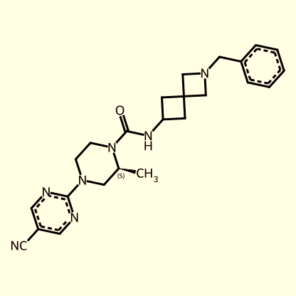 C[C@H]1CN(c2ncc(C#N)cn2)CCN1C(=O)NC1CC2(C1)CN(Cc1ccccc1)C2